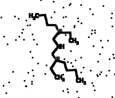 CCCC[C@H](CC)CNC[C@@H](CC)CCCC